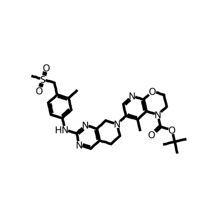 Cc1cc(Nc2ncc3c(n2)CN(c2cnc4c(c2C)N(C(=O)OC(C)(C)C)CCO4)CC3)ccc1CS(C)(=O)=O